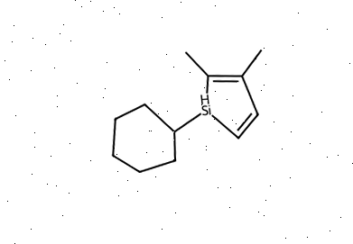 CC1=C(C)[SiH](C2CCCCC2)C=C1